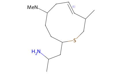 CNC1C/C=C/C(C)CSC(CC(C)N)CC1